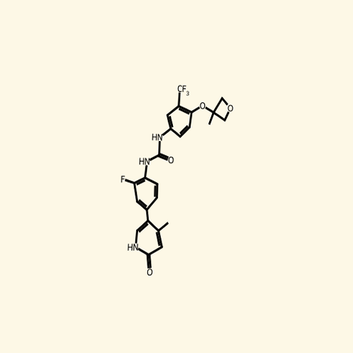 Cc1cc(=O)[nH]cc1-c1ccc(NC(=O)Nc2ccc(OC3(C)COC3)c(C(F)(F)F)c2)c(F)c1